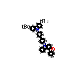 CC(C)(C)c1ccc2c(c1)c1cc(C(C)(C)C)ccc1n2-c1ccc(-c2ccc(-n3c4ccccc4c4c5c(ccc43)oc3ccccc35)cc2)cc1